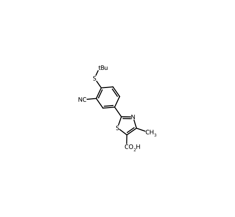 Cc1nc(-c2ccc(SC(C)(C)C)c(C#N)c2)sc1C(=O)O